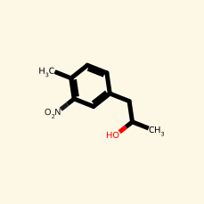 Cc1ccc(CC(C)O)cc1[N+](=O)[O-]